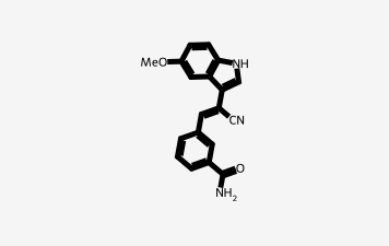 COc1ccc2[nH]cc(C(C#N)=Cc3cccc(C(N)=O)c3)c2c1